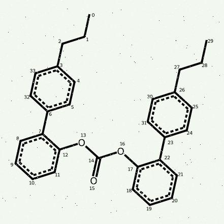 CCCc1ccc(-c2ccccc2OC(=O)Oc2ccccc2-c2ccc(CCC)cc2)cc1